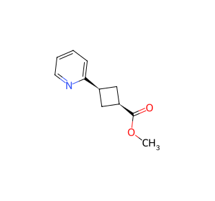 COC(=O)[C@H]1C[C@@H](c2ccccn2)C1